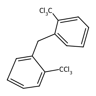 ClC(Cl)(Cl)c1ccccc1Cc1ccccc1C(Cl)(Cl)Cl